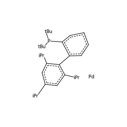 CC(C)c1cc(C(C)C)c(-c2ccccc2P(C(C)(C)C)C(C)(C)C)c(C(C)C)c1.[Pd]